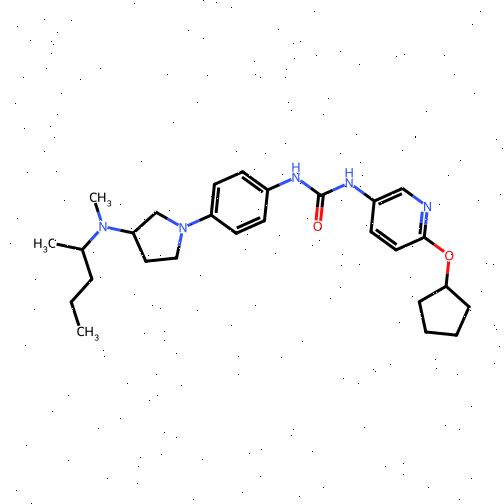 CCCC(C)N(C)C1CCN(c2ccc(NC(=O)Nc3ccc(OC4CCCC4)nc3)cc2)C1